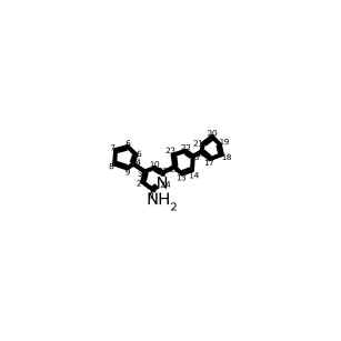 Nc1cc(-c2ccccc2)cc(-c2ccc(-c3ccccc3)cc2)n1